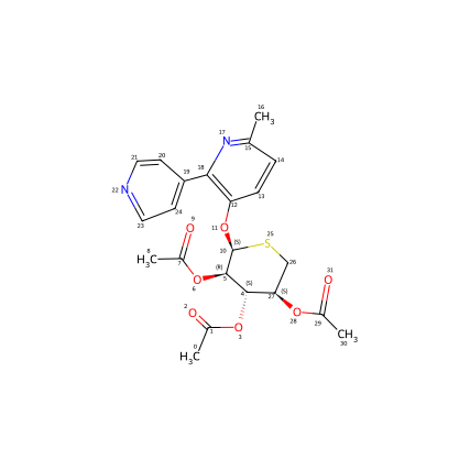 CC(=O)O[C@@H]1[C@@H](OC(C)=O)[C@@H](Oc2ccc(C)nc2-c2ccncc2)SC[C@H]1OC(C)=O